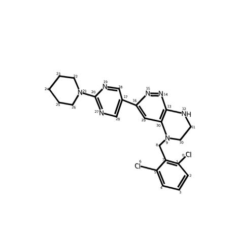 Clc1cccc(Cl)c1CN1CCNc2nnc(-c3cnc(N4CCCCC4)nc3)cc21